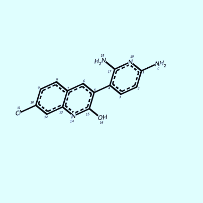 Nc1ccc(-c2cc3ccc(Cl)cc3nc2O)c(N)n1